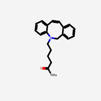 CNC(=O)CCCCN1Cc2ccccc2/C=C\c2ccccc21